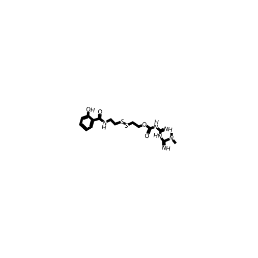 CN(C)C(=N)NC(=N)NC(=O)OCCSSCCNC(=O)c1ccccc1O